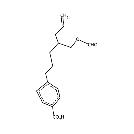 C=CCC(CCCc1ccc(C(=O)O)cc1)COC=O